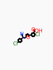 N#C/C(=C\c1ccc(-c2ccc(Cl)c(C(=O)O)c2)o1)c1ccc(Cl)cc1